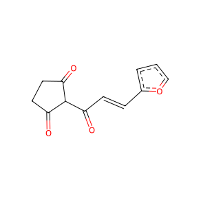 O=C(/C=C/c1ccco1)C1C(=O)CCC1=O